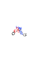 CC1C=CCC(CN2CCN(c3cn[nH]c(=O)c3OCCOc3ccccc3)CC2)C1